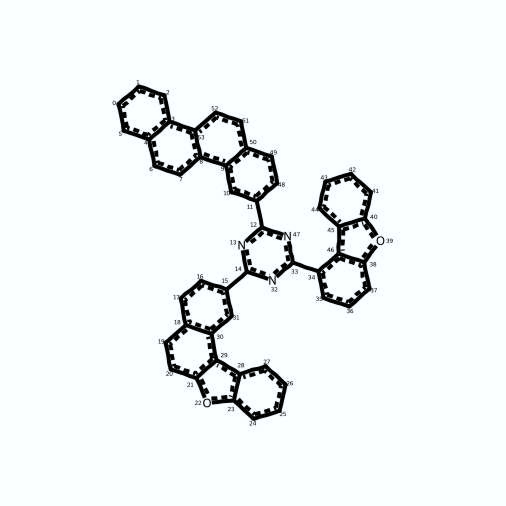 c1ccc2c(c1)ccc1c3cc(-c4nc(-c5ccc6ccc7oc8ccccc8c7c6c5)nc(-c5cccc6oc7ccccc7c56)n4)ccc3ccc21